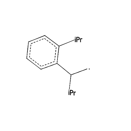 [CH2]C(c1ccccc1C(C)C)C(C)C